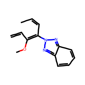 C=C/C(OC)=C(\C=C/C)n1nc2ccccc2n1